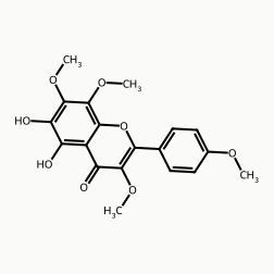 COc1ccc(-c2oc3c(OC)c(OC)c(O)c(O)c3c(=O)c2OC)cc1